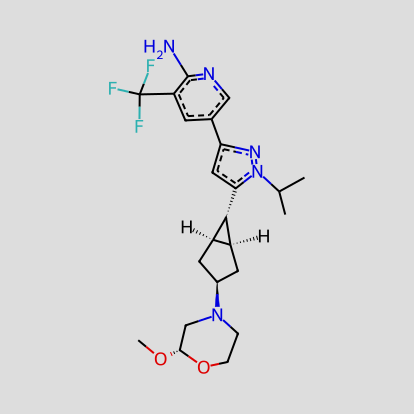 CO[C@@H]1CN([C@H]2C[C@@H]3[C@H](C2)[C@H]3c2cc(-c3cnc(N)c(C(F)(F)F)c3)nn2C(C)C)CCO1